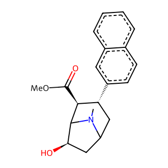 COC(=O)[C@@H]1C2[C@H](O)CC(C[C@H]1c1ccc3ccccc3c1)N2C